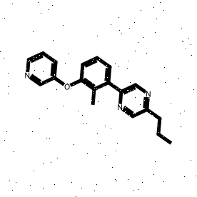 CCCc1cnc(-c2cccc(Oc3cccnc3)c2C)cn1